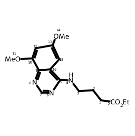 CCOC(=O)CCCNc1ncnc2c(OC)cc(OC)cc12